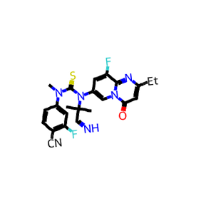 CCc1cc(=O)n2cc(N(C(=S)N(C)c3ccc(C#N)c(F)c3)C(C)(C)C=N)cc(F)c2n1